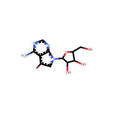 Nc1ncnc2c1c(I)cn2C1OC(CO)C(O)C1O